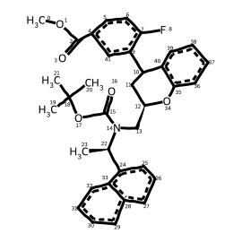 COC(=O)c1ccc(F)c(C2C[C@H](CN(C(=O)OC(C)(C)C)[C@H](C)c3cccc4ccccc34)Oc3ccccc32)c1